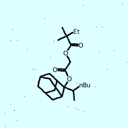 CCCCC(C)C1(OC(=O)COC(=O)C(C)(C)CC)C2CC3CC(C2)CC1C3